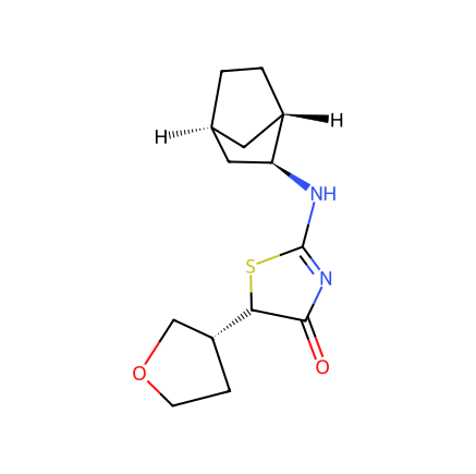 O=C1N=C(N[C@H]2C[C@H]3CC[C@H]2C3)SC1[C@@H]1CCOC1